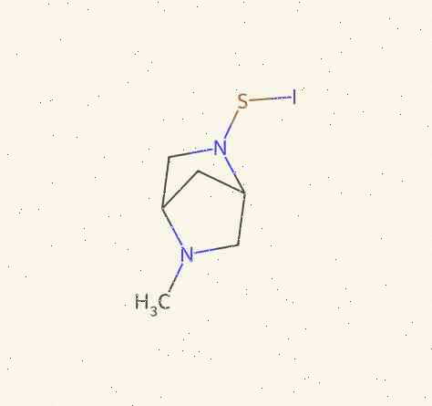 CN1CC2CC1CN2SI